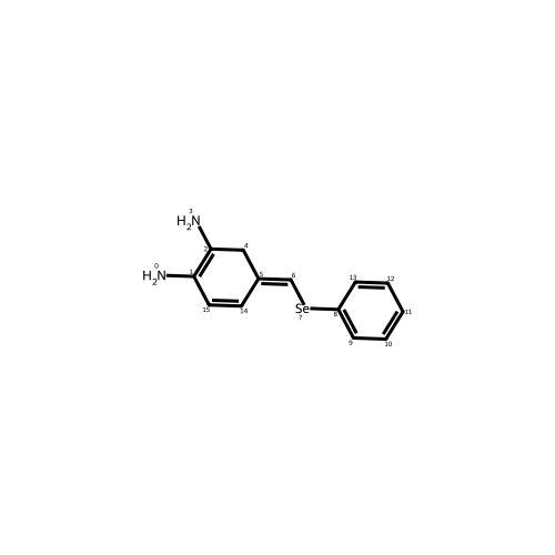 NC1=C(N)CC(=C[Se]c2ccccc2)C=C1